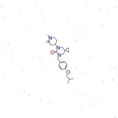 CC(C)COc1ccc(CN2CC3(CC3)CN(C3CCN(C)[C@@H](C)C3)C2=O)cc1